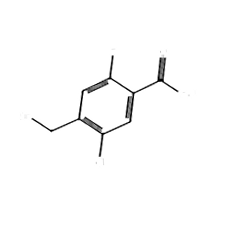 O=C(O)c1cc(Cl)c(CBr)cc1F